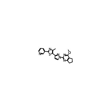 COc1nc(-n2ccc(-c3sc(-c4cccnc4)nc3C)n2)nc2c1CCC2